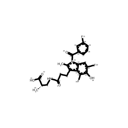 Cc1c(CCC(=O)NC[C@H](C)C(=O)O)c2c(F)c(O)c(F)cc2n1C(=O)c1cccc(F)c1